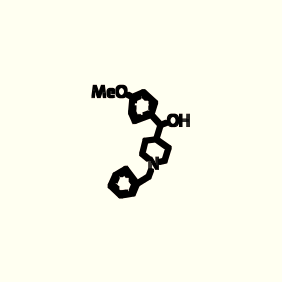 COc1ccc(C(O)C2CCN(Cc3ccccc3)CC2)cc1